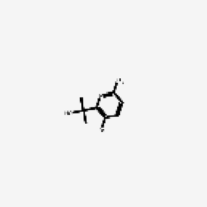 CC(C)(O)c1nc(C(F)(F)F)ccc1Br